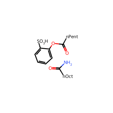 CCCCCC(=O)Oc1ccccc1S(=O)(=O)O.CCCCCCCCC(N)=O